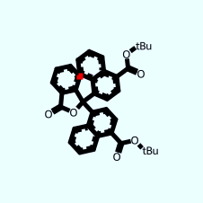 CC(C)(C)OC(=O)c1ccc(C2(c3ccc(C(=O)OC(C)(C)C)c4ccccc34)OC(=O)c3ccccc32)c2ccccc12